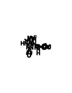 COc1ccc(-c2cc(Nc3nc(N[C@@H](C)c4ncc(F)cn4)nc(N4CCOCC4)n3)n[nH]2)cc1